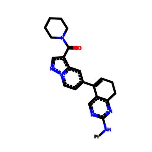 CC(C)Nc1ncc2c(n1)CCC=C2c1ccn2ncc(C(=O)N3CCCCC3)c2c1